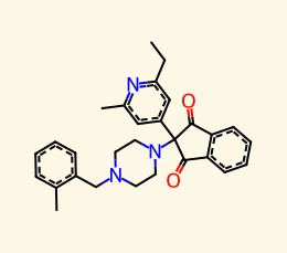 CCc1cc(C2(N3CCN(Cc4ccccc4C)CC3)C(=O)c3ccccc3C2=O)cc(C)n1